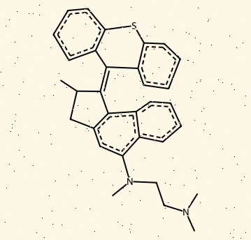 CC1Cc2cc(N(C)CCN(C)C)c3ccccc3c2C1=C1c2ccccc2Sc2ccccc21